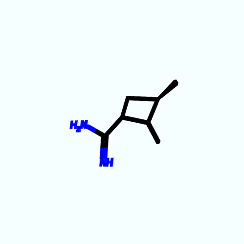 CC1C(C(=N)N)C[C@H]1C